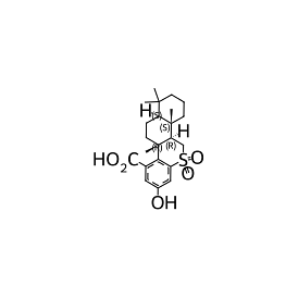 CC1(C)CCC[C@]2(C)[C@H]3CS(=O)(=O)c4cc(O)cc(C(=O)O)c4[C@]3(C)CC[C@@H]12